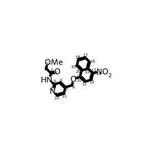 COCC(=O)Nc1cc(COc2ccc([N+](=O)[O-])c3ccccc23)ccn1